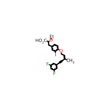 CCOC(Cc1ccc(OCC=C(C)C#Cc2cc(F)cc(F)c2)c(I)c1)C(=O)O